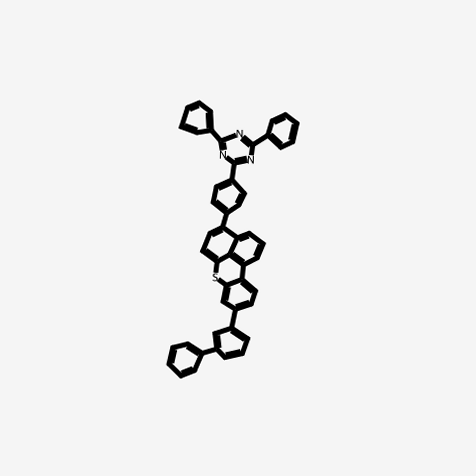 c1ccc(-c2cccc(-c3ccc4c(c3)Sc3ccc(-c5ccc(-c6nc(-c7ccccc7)nc(-c7ccccc7)n6)cc5)c5cccc-4c35)c2)cc1